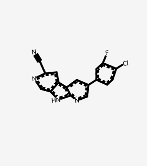 N#Cc1cc2c(cn1)[nH]c1ncc(-c3ccc(Cl)c(F)c3)cc12